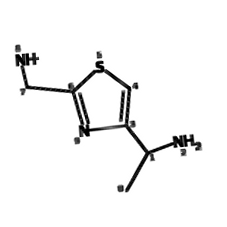 CC(N)c1csc(C[NH])n1